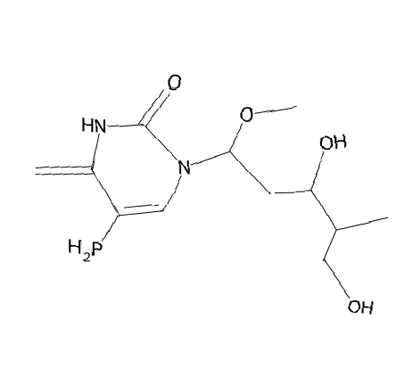 C=C1NC(=O)N(C(CC(O)C(C)CO)OC)C=C1P